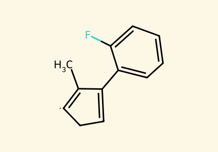 CC1=[C]CC=C1c1ccccc1F